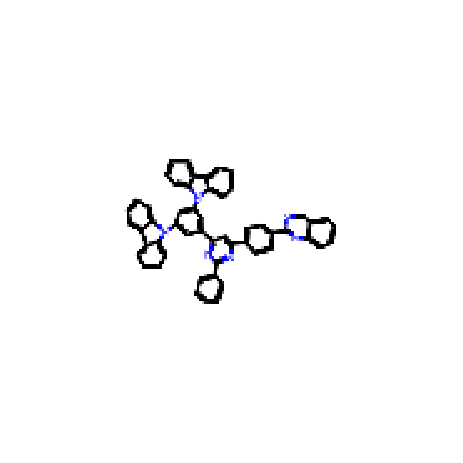 c1ccc(-c2nc(-c3ccc(-c4ncc5ccccc5n4)cc3)cc(-c3cc(-n4c5ccccc5c5ccccc54)cc(-n4c5ccccc5c5ccccc54)c3)n2)cc1